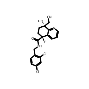 N#CC[C@]1(O)CC[C@@](F)(C(=O)NCc2ccc(Cl)cc2Cl)c2cccnc21